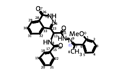 COc1ccccc1/C(C)=N/NC(=O)C(NC(=O)c1ccccc1)c1n[nH]c(=O)c2ccccc12